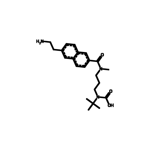 CN(CCCN(C(=O)O)C(C)(C)C)C(=O)c1ccc2cc(CCN)ccc2c1